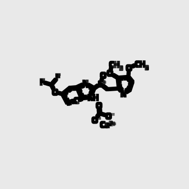 COc1ccnc(C[S+]([O-])c2nc3cc(OC(F)F)ccc3[nH]2)c1OC.O=C([O-])[O-].[Ca+2]